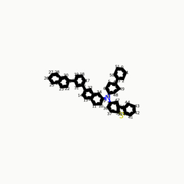 c1ccc(-c2ccc(N(c3ccc4ccc(-c5cccc(-c6ccc7ccccc7c6)c5)cc4c3)c3ccc4sc5ccccc5c4c3)cc2)cc1